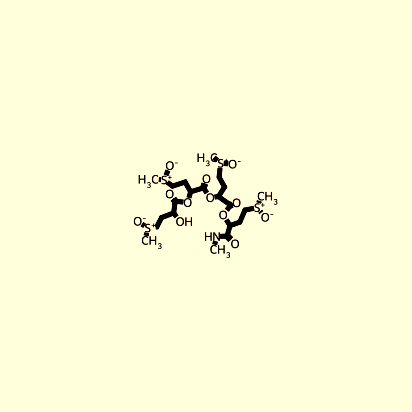 CNC(=O)C(CC[S+](C)[O-])OC(=O)C(CC[S+](C)[O-])OC(=O)C(CC[S+](C)[O-])OC(=O)C(O)CC[S+](C)[O-]